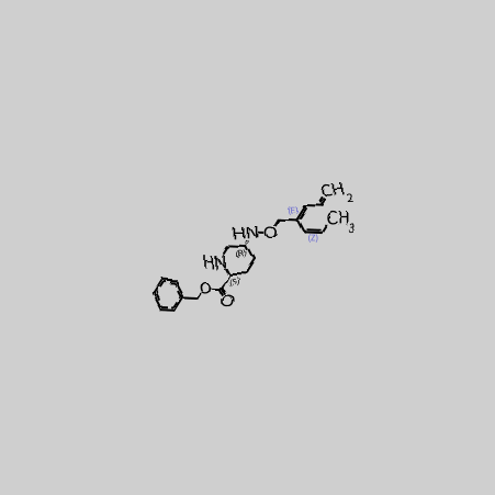 C=C/C=C(\C=C/C)CON[C@@H]1CC[C@@H](C(=O)OCc2ccccc2)NC1